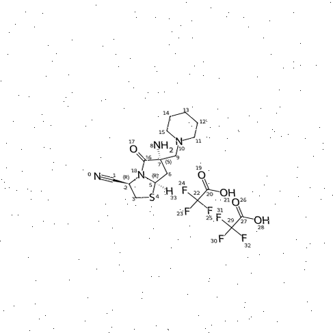 N#C[C@@H]1CS[C@@H]2C[C@](N)(CN3CCCCC3)C(=O)N12.O=C(O)C(F)(F)F.O=C(O)C(F)(F)F